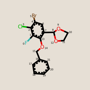 Fc1c(Cl)c(Br)cc(C2OCCO2)c1OCc1ccccc1